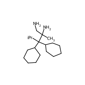 CC(C)C(C1CCCCC1)(C1CCCCC1)C(C)(N)CN